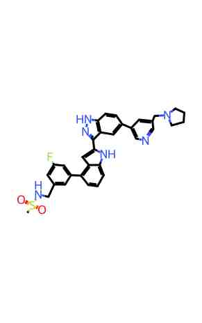 CS(=O)(=O)NCc1cc(F)cc(-c2cccc3[nH]c(-c4n[nH]c5ccc(-c6cncc(CN7CCCC7)c6)cc45)cc23)c1